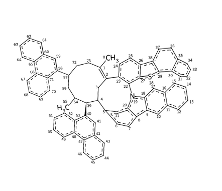 C/C1=C2/CC(c3ccc4c5cc6ccccc6cc5n(c4c3)-c3c2ccc2c3sc3c4ccccc4ccc23)[C@@H](c2cc3ccccc3c3ccccc23)C(C)CC(c2cc3ccccc3c3ccccc23)CC1